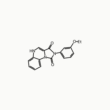 CCOc1cccc(-n2c(=O)c3c[nH]c4ccccc4n-3c2=O)c1